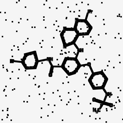 CC(C)c1ccc2c(Nc3cc(C(=O)Nc4ccc(Br)cc4)ccc3Oc3ccc(NS(C)(=O)=O)cc3)ncnc2n1